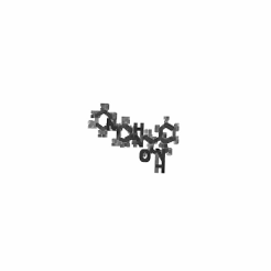 O=C1NCc2ccccc2/C1=C/Nc1ccc(N2CCCCC2)cc1